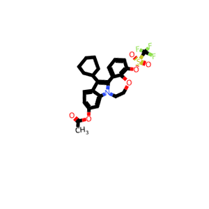 CC(=O)Oc1ccc2c(C3CCCCC3)c3n(c2c1)CCOc1c(OS(=O)(=O)C(F)(F)F)cccc1-3